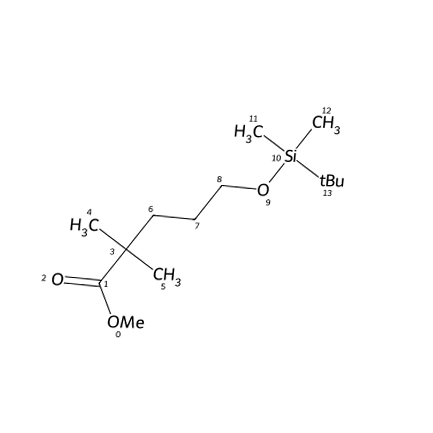 COC(=O)C(C)(C)CCCO[Si](C)(C)C(C)(C)C